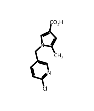 Cc1cc(C(=O)O)cn1Cc1ccc(Cl)nc1